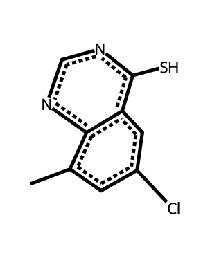 Cc1cc(Cl)cc2c(S)ncnc12